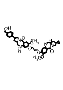 COc1cc2c(cc1OCCCOc1cc3c(cc1OC)C(=O)N1C=C(c4ccc(CO)cc4)CC1CN3)N=C[C@@H]1CC3(CC3)CN1C2=O